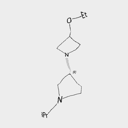 CCOC1CN([C@@H]2CCN(C(C)C)C2)C1